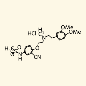 COc1ccc(CCN(C)CCOc2ccc(NS(C)(=O)=O)cc2C#N)cc1OC.Cl